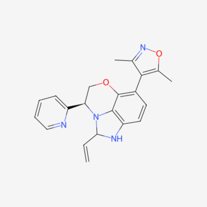 C=CC1Nc2ccc(-c3c(C)noc3C)c3c2N1[C@@H](c1ccccn1)CO3